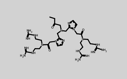 CCC(=O)CN(Cc1nccn1CC(=O)N(CCNC(=N)N)CCNC(=N)N)Cc1nccn1CC(=O)N(CCNC(=N)N)CCNC(=N)N